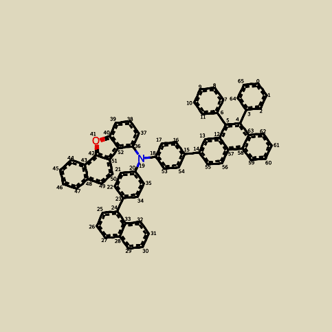 c1ccc(-c2c(-c3ccccc3)c3cc(-c4ccc(N(c5ccc(-c6cccc7ccccc67)cc5)c5cccc6oc7c8ccccc8ccc7c56)cc4)ccc3c3ccccc23)cc1